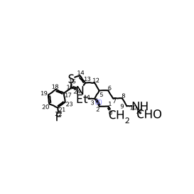 C=C/C=C(/CC)C(CCCCNC=O)Cc1csc(-c2cccc(F)c2)n1